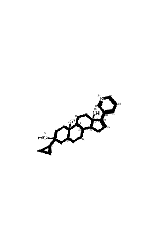 C[C@]12CC[C@@](O)(C3CC3)CC1CCC1C2CC[C@]2(C)C(c3cccnc3)=CCC12